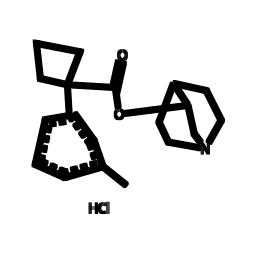 Cc1cccc(C2(C(=O)OC3CN4CCC3CC4)CCC2)c1.Cl